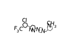 CN1CCCC(CN2CCN(c3ccc(-c4cc(Cl)cc(C(F)(F)F)c4)nn3)CC2)C1